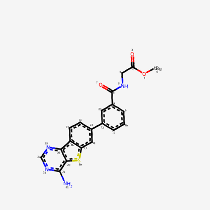 CC(C)(C)OC(=O)CNC(=O)c1cccc(-c2ccc3c(c2)sc2c(N)ncnc23)c1